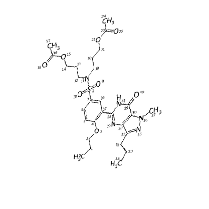 CCCOc1ccc(S(=O)(=O)N(CCCOC(C)=O)CCCOC(C)=O)cc1-c1nc2c(CCC)nn(C)c2c(=O)[nH]1